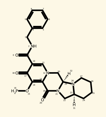 O=C(NCc1ccccc1)c1cn2c(c(OP)c1=O)C(=O)N1C[C@@H]3CCCCN3[C@@H]1C2